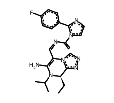 C=C(/N=C\C1=C(N)N(C(C)C)[C@H](CC)c2nncn21)n1ccnc1-c1ccc(F)cc1